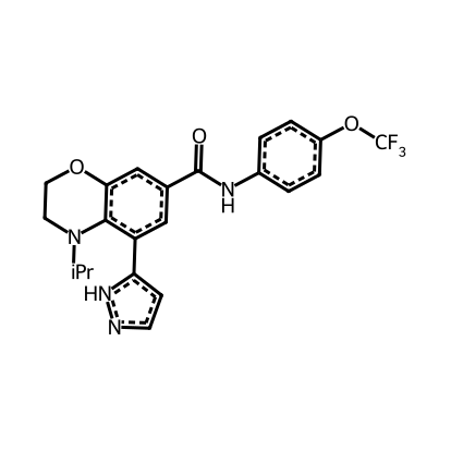 CC(C)N1CCOc2cc(C(=O)Nc3ccc(OC(F)(F)F)cc3)cc(-c3ccn[nH]3)c21